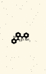 CCC(c1ccccc1N)c1ccccc1C(CC)c1ccccc1N